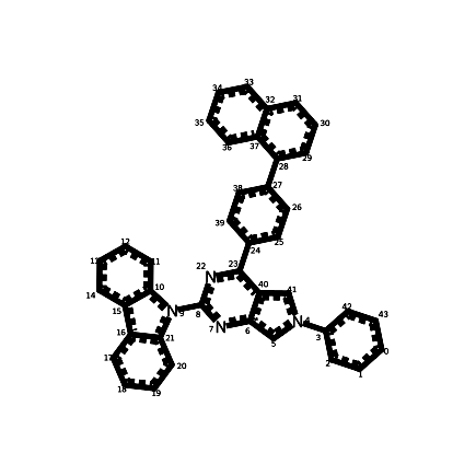 c1ccc(-n2cc3nc(-n4c5ccccc5c5ccccc54)nc(-c4ccc(-c5cccc6ccccc56)cc4)c3c2)cc1